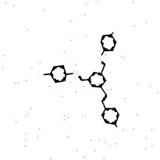 Oc1ccc(/C=C/c2cc(/C=N/c3ccc(O)cc3)cc(/C=N/c3ccc(O)cc3)c2)cc1